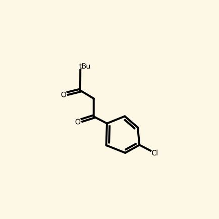 CC(C)(C)C(=O)CC(=O)c1ccc(Cl)cc1